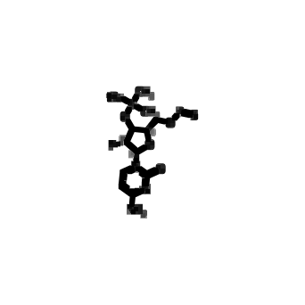 CC(C)(C)[Si](C)(C)OC1[C@@H](F)[C@H](n2ccc(N)nc2=O)O[C@@H]1COP=S